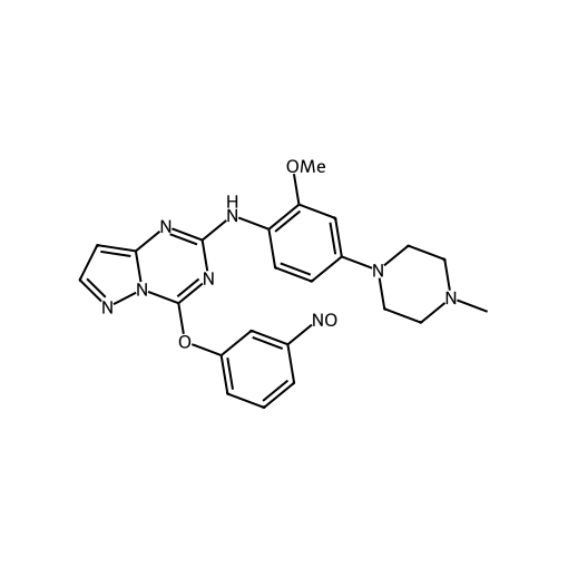 COc1cc(N2CCN(C)CC2)ccc1Nc1nc(Oc2cccc(N=O)c2)n2nccc2n1